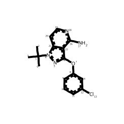 CC(C)(C)n1nc(Oc2cccc(Cl)c2)c2c(N)nccc21